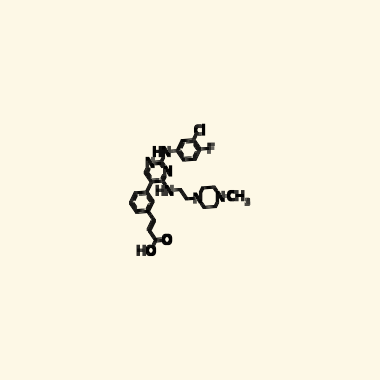 CN1CCN(CCNc2nc(Nc3ccc(F)c(Cl)c3)ncc2-c2cccc(C=CC(=O)O)c2)CC1